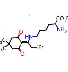 CCOC(=O)[C@@H](N)CCCCNC(CC(C)C)=C1C(=O)CC(C)(C)CC1=O